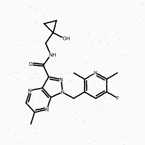 Cc1cnc2c(C(=O)NCC3(O)CC3)nn(Cc3cc(F)c(C)nc3C)c2n1